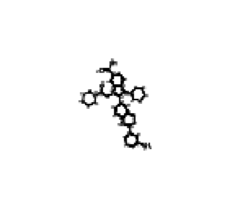 Nc1cccc(-c2ccc3cc(-c4c(C5CCCCC5)c5ccc(C(=O)O)cc5n4CC(=O)N4CCOCC4)ccc3n2)c1